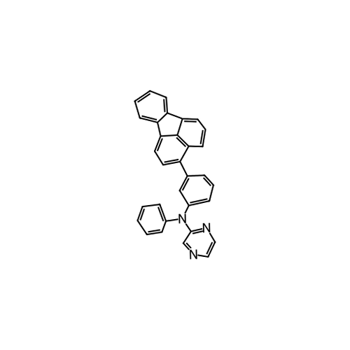 c1ccc(N(c2cccc(-c3ccc4c5c(cccc35)-c3ccccc3-4)c2)c2cnccn2)cc1